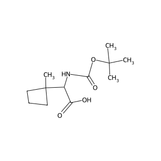 CC(C)(C)OC(=O)NC(C(=O)O)C1(C)CCC1